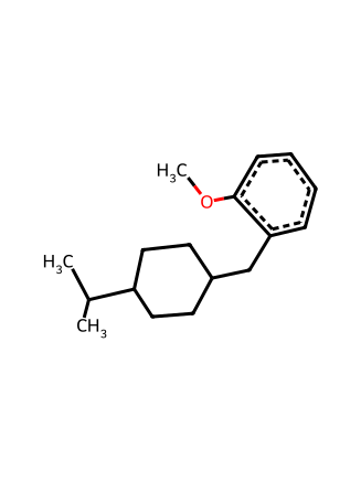 COc1ccccc1CC1CCC(C(C)C)CC1